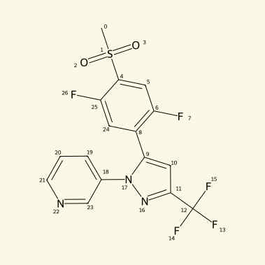 CS(=O)(=O)c1cc(F)c(-c2cc(C(F)(F)F)nn2-c2cccnc2)cc1F